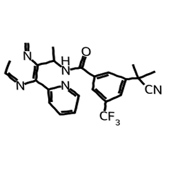 C=N/C(=C(\N=C/C)c1ccccn1)C(C)NC(=O)c1cc(C(F)(F)F)cc(C(C)(C)C#N)c1